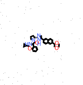 O=C(N[C@@H](C(=O)N1CCC[C@@H]1c1ncc(-c2ccc3cc(C4COCCO4)ccc3c2)[nH]1)c1ccccc1)C1CC1